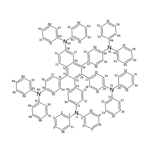 c1ccc(N(c2ccccc2)c2ccc(-c3c(-c4ccc(N(c5ccccc5)c5ccccc5)cc4)c(-c4ccc(N(c5ccccc5)c5ccccc5)cc4)c4cc(N(c5ccccc5)c5ccccc5)ccc4c3-c3ccc(N(c4ccccc4)c4ccccc4)cc3)cc2)cc1